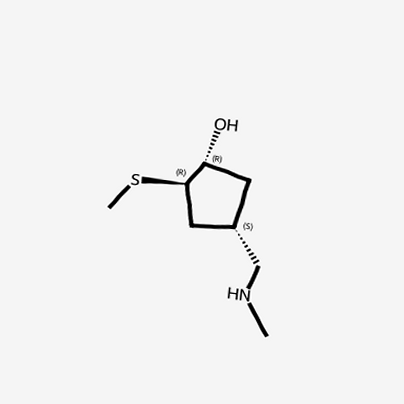 CNC[C@H]1C[C@@H](O)[C@H](SC)C1